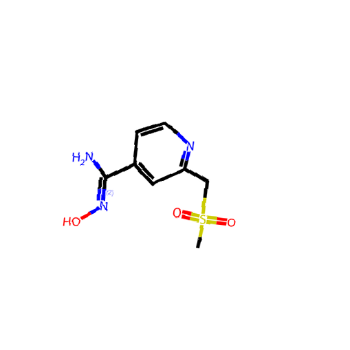 CS(=O)(=O)Cc1cc(/C(N)=N/O)ccn1